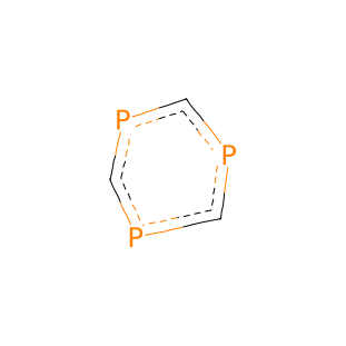 c1pcpcp1